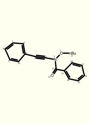 CCCCON(C#Cc1ccccc1)C(=O)c1ccccc1